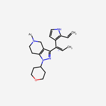 C=Cc1[nH]ccc1/C(=C\C)c1nn(C2CCOCC2)c2c1CN(C(C)=O)CC2